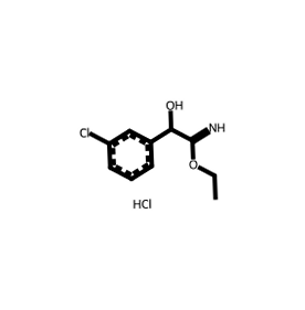 CCOC(=N)C(O)c1cccc(Cl)c1.Cl